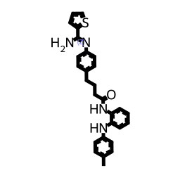 Cc1ccc(Nc2ccccc2NC(=O)CCCc2ccc(/N=C(\N)c3cccs3)cc2)cc1